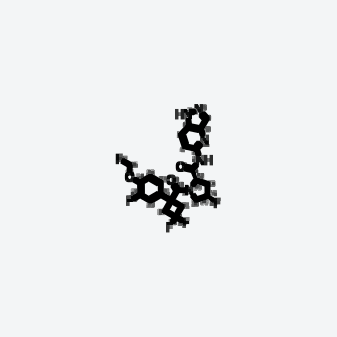 O=C(Nc1ccc2[nH]ncc2n1)[C@H]1C[C@@H](F)CN1C(=O)C1(c2ccc(OCF)c(F)c2)CC(F)(F)C1